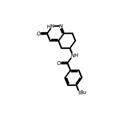 CC(C)(C)c1ccc(C(=O)NC2CCc3n[nH]c(=O)cc3C2)cc1